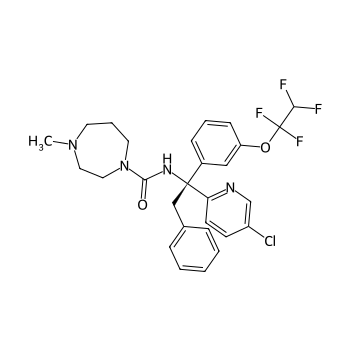 CN1CCCN(C(=O)N[C@](Cc2ccccc2)(c2cccc(OC(F)(F)C(F)F)c2)c2ccc(Cl)cn2)CC1